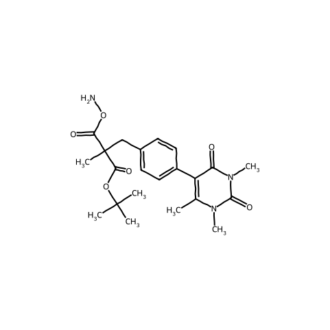 Cc1c(-c2ccc(CC(C)(C(=O)ON)C(=O)OC(C)(C)C)cc2)c(=O)n(C)c(=O)n1C